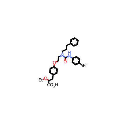 CCOC(Cc1ccc(OCCN(CCCc2ccccc2)C(=O)Nc2ccc(C(C)C)cc2)cc1)C(=O)O